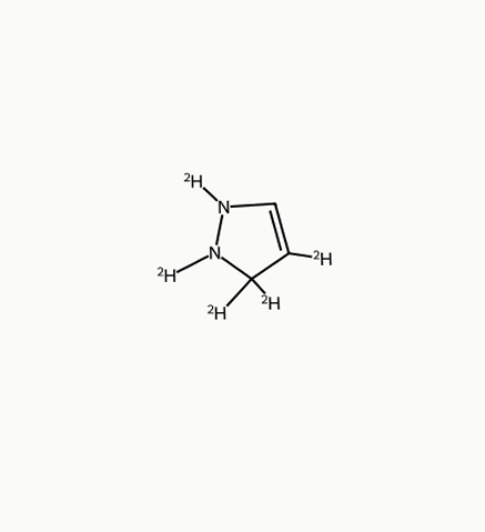 [2H]C1=CN([2H])N([2H])C1([2H])[2H]